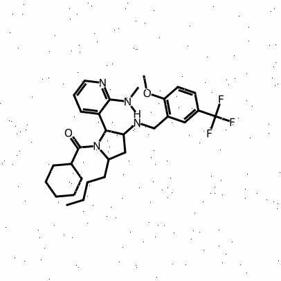 CCCCC1CC(NCc2cc(C(F)(F)F)ccc2OC)C(c2cccnc2N(C)C)N1C(=O)C1CCCCC1